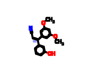 COc1cc(OC)cc(/C(=C\C#N)c2cccc(O)c2)c1